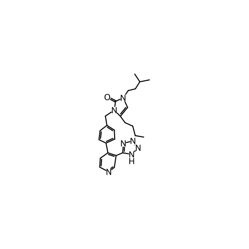 CCCCc1cn(CCC(C)C)c(=O)n1Cc1ccc(-c2ccncc2-c2nnn[nH]2)cc1